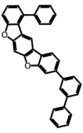 c1ccc(-c2cccc(-c3ccc4c(c3)oc3cc5oc6cccc(-c7ccccc7)c6c5cc34)c2)cc1